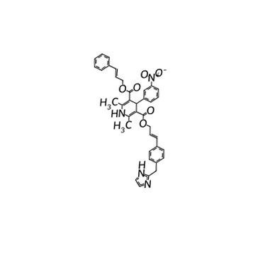 CC1=C(C(=O)OCC=Cc2ccccc2)C(c2cccc([N+](=O)[O-])c2)C(C(=O)OCC=Cc2ccc(Cc3ncc[nH]3)cc2)=C(C)N1